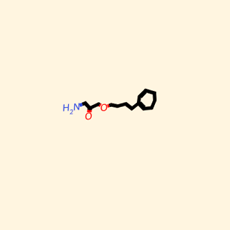 NCC(=O)COCCCCC1=CCCCC=C1